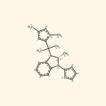 Cc1cc(C(C)(C)N2c3ccccc3N(c3nccs3)[C@H]2C)n(C)n1